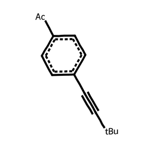 CC(=O)c1ccc(C#CC(C)(C)C)cc1